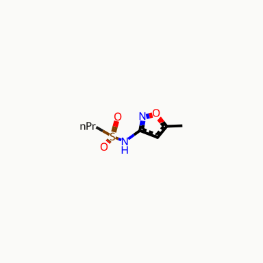 CCCS(=O)(=O)Nc1cc(C)on1